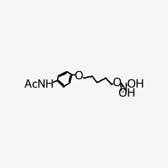 CC(=O)Nc1ccc(OCCCCCON(O)O)cc1